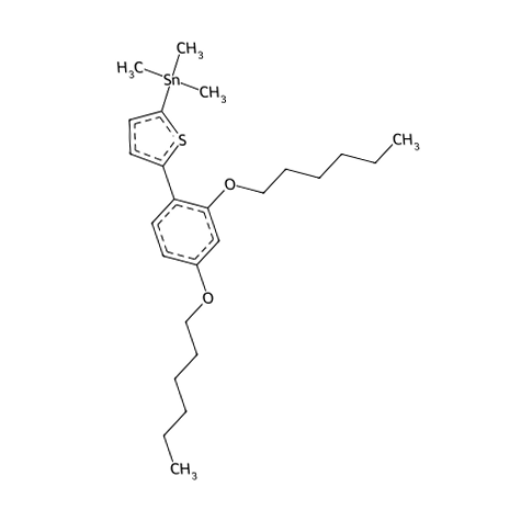 CCCCCCOc1ccc(-c2cc[c]([Sn]([CH3])([CH3])[CH3])s2)c(OCCCCCC)c1